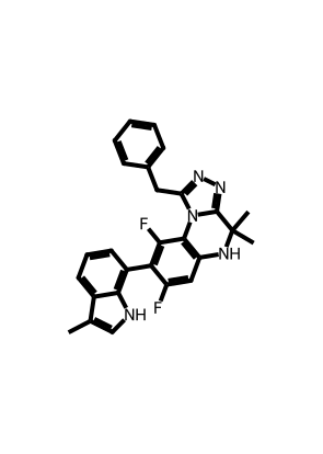 Cc1c[nH]c2c(-c3c(F)cc4c(c3F)-n3c(Cc5ccccc5)nnc3C(C)(C)N4)cccc12